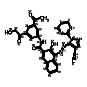 [C-]#[N+]c1cnn(-c2ncccn2)c1/N=N/c1c(O)c(C(=O)Nc2cc(C(C)=O)cc(C(=O)CO)c2)cc2ccccc12